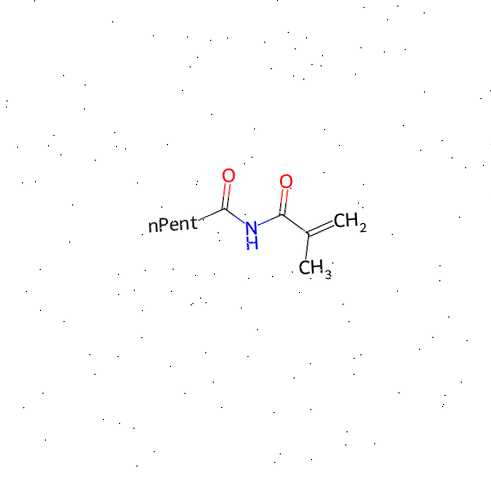 C=C(C)C(=O)NC(=O)CCCCC